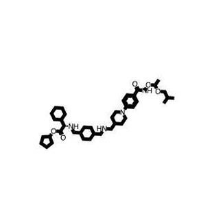 CC(C)COC(C)ONC(=O)c1ccc(N2CCC(CNCC3CCC(CN[C@H](C(=O)OC4CCCC4)C4CCCCC4)CC3)CC2)cc1